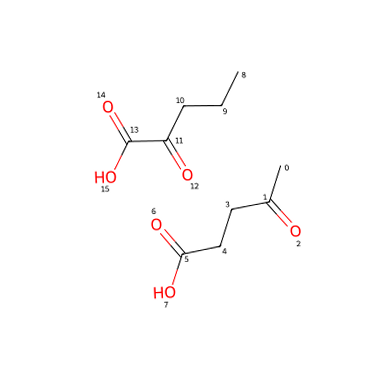 CC(=O)CCC(=O)O.CCCC(=O)C(=O)O